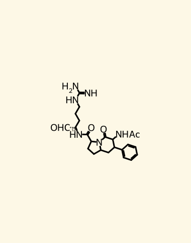 CC(=O)NC1C(=O)N2C(CCC2C(=O)N[C@H](C=O)CCCNC(=N)N)CC1c1ccccc1